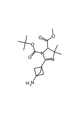 COC(=O)C1N(C(=O)OC(C)(C)C)C(C23CC(N)(C2)C3)=NC1(C)C